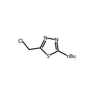 CCCCc1nnc(CCl)s1